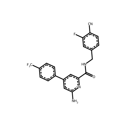 N#Cc1ccc(CNC(=O)c2cc(-c3ccc(C(F)(F)F)cc3)cc(N)n2)cc1F